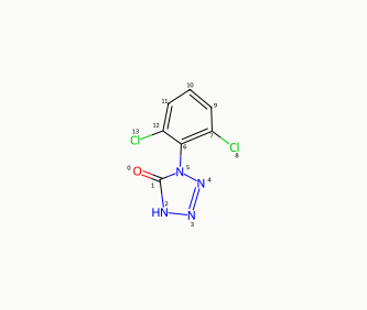 O=c1[nH]nnn1-c1c(Cl)cccc1Cl